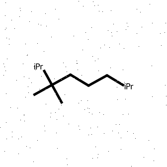 [CH2]C(C)C(C)(C)CCCC(C)C